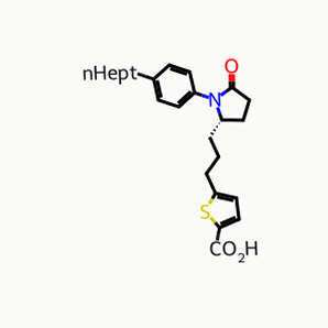 CCCCCCCc1ccc(N2C(=O)CC[C@@H]2CCCc2ccc(C(=O)O)s2)cc1